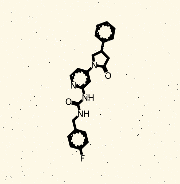 O=C(NCc1ccc(F)cc1)Nc1cc(N2CC(c3ccccc3)CC2=O)ccn1